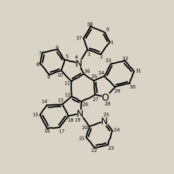 c1ccc(-n2c3ccccc3c3c4c5ccccc5n(-c5ccccn5)c4c4oc5ccccc5c4c32)cc1